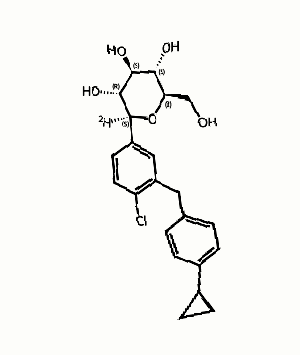 [2H][C@@]1(c2ccc(Cl)c(Cc3ccc(C4CC4)cc3)c2)O[C@H](CO)[C@@H](O)[C@H](O)[C@H]1O